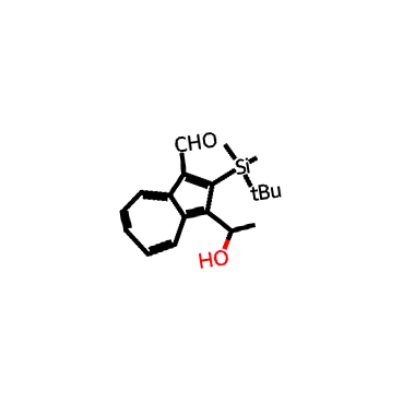 CC(O)c1c2cccccc-2c(C=O)c1[Si](C)(C)C(C)(C)C